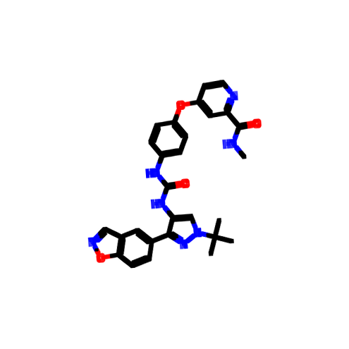 CNC(=O)c1cc(Oc2ccc(NC(=O)Nc3cn(C(C)(C)C)nc3-c3ccc4oncc4c3)cc2)ccn1